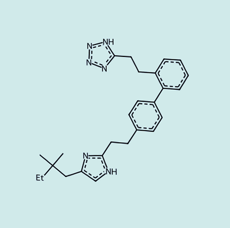 CCC(C)(C)Cc1c[nH]c(CCc2ccc(-c3ccccc3CCc3nnn[nH]3)cc2)n1